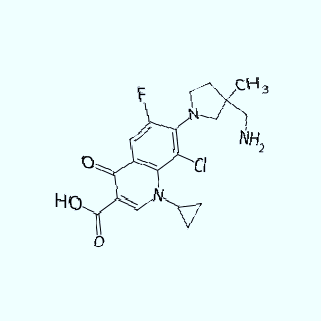 CC1(CN)CCN(c2c(F)cc3c(=O)c(C(=O)O)cn(C4CC4)c3c2Cl)C1